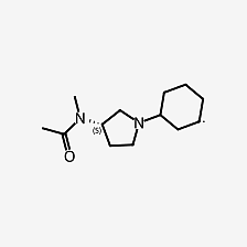 CC(=O)N(C)[C@H]1CCN(C2C[CH]CCC2)C1